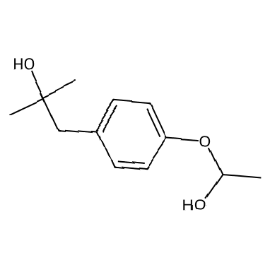 CC(O)Oc1ccc(CC(C)(C)O)cc1